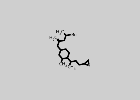 C=C(CC1CCC(C(C)CCC2CS2)C(C)C1)CC(C)C(C)CC